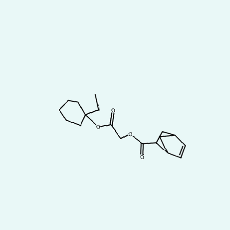 CCC1(OC(=O)COC(=O)C2CC3C=CC2C3)CCCCC1